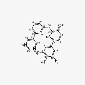 O=c1ccc(-c2cc(F)c(F)c(F)c2)nn1Cc1cccc(-c2cncnc2)c1